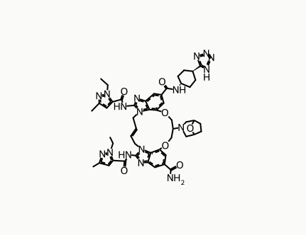 CCn1nc(C)cc1C(=O)Nc1nc2cc(C(N)=O)cc3c2n1C/C=C/Cn1c(NC(=O)c2cc(C)nn2CC)nc2cc(C(=O)N[C@H]4CC[C@H](c5nnn[nH]5)CC4)cc(c21)OCC(N1CC2CCC(C1)O2)CO3